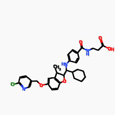 CC1c2cc(OCc3ccc(Cl)nc3)ccc2OC1C(Nc1ccc(C(=O)NCCC(=O)O)cc1)C1CCCCC1